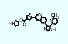 Cc1cccc(-c2[nH]cnc2-c2ccc3ncc(-c4cc(C(=O)O[C@H]5CCNC5)cs4)cc3c2)n1